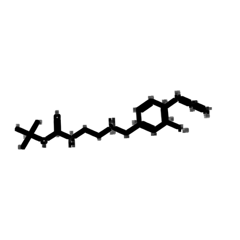 CC(C)(C)OC(=O)NCCNCc1ccc(N=[N+]=[N-])c(F)c1